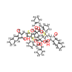 O=C1/C(=C/c2cc3c(s2)C2=C(c4sc5cc(/C=C6/C(=O)c7cc8ccccc8cc7C6O)sc5c4C2(C(=O)OCc2ccccc2)C(=O)OCc2ccccc2)C3(C(=O)OCc2ccccc2)C(=O)OCc2ccccc2)C(O)c2cc3ccccc3cc21